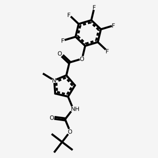 Cn1cc(NC(=O)OC(C)(C)C)cc1C(=O)Oc1c(F)c(F)c(F)c(F)c1F